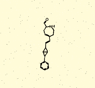 O=CC1CC=C(/C=C/C2C3C(c4ccccc4)C23)CCN1